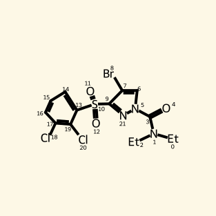 CCN(CC)C(=O)n1cc(Br)c(S(=O)(=O)c2cccc(Cl)c2Cl)n1